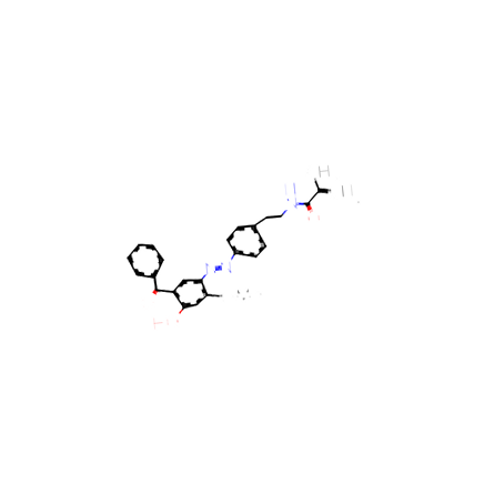 C=C(C)C(=O)NCCc1ccc(N=Nc2cc(C(=O)c3ccccc3)c(O)cc2OC)cc1